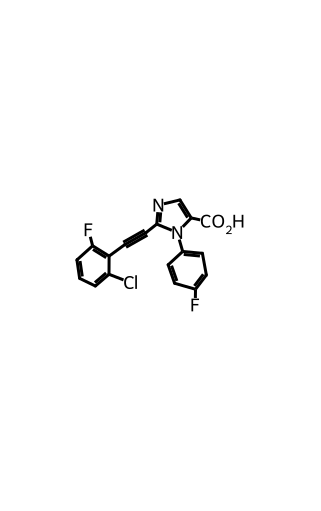 O=C(O)c1cnc(C#Cc2c(F)cccc2Cl)n1-c1ccc(F)cc1